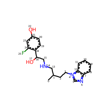 CC(CCn1cnc2ccccc21)CNCC(O)c1ccc(O)cc1F